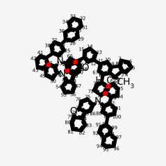 CC1(C)c2ccccc2-c2cc(-c3cccc4c3oc3ccc(N(c5cc(-c6ccc7ccccc7c6)ccc5-c5ccccc5)c5ccccc5-n5c6ccccc6c6ccccc65)cc34)cc(-c3ccc(N(c4ccc5oc6ccccc6c5c4)c4cc(-c5ccc6ccccc6c5)ccc4-c4ccccc4)cc3)c21